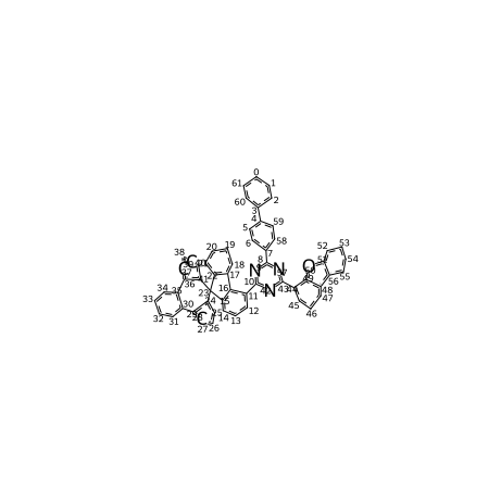 c1ccc(-c2ccc(-c3nc(-c4cccc5c4-c4ccccc4C54c5ccccc5-c5ccccc5-c5ccccc54)nc(-c4cccc5c4oc4ccccc45)n3)cc2)cc1